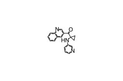 O=C(c1cnc2ccccc2c1)C1(Nc2cccnc2)CC1